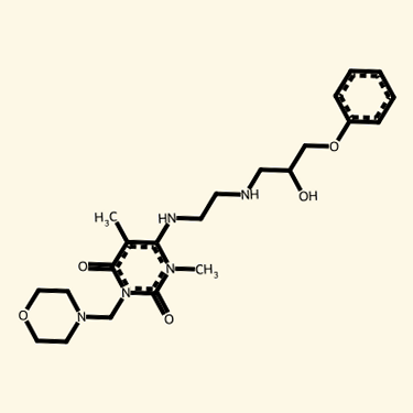 Cc1c(NCCNCC(O)COc2ccccc2)n(C)c(=O)n(CN2CCOCC2)c1=O